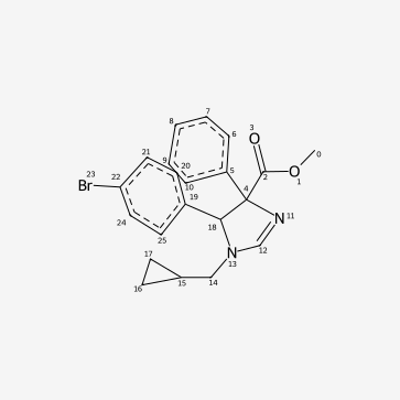 COC(=O)C1(c2ccccc2)N=CN(CC2CC2)C1c1ccc(Br)cc1